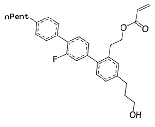 C=CC(=O)OCCc1cc(CCCO)ccc1-c1ccc(-c2ccc(CCCCC)cc2)c(F)c1